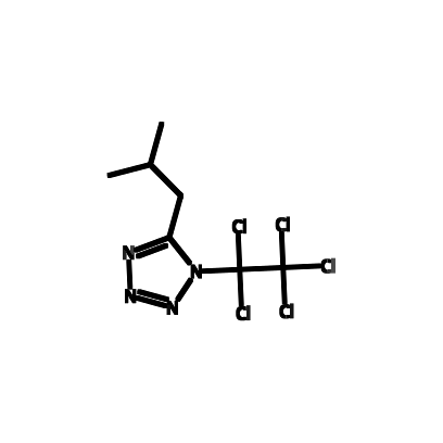 CC(C)Cc1nnnn1C(Cl)(Cl)C(Cl)(Cl)Cl